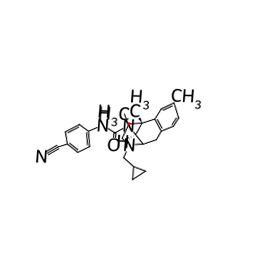 Cc1ccc2c(c1)[C@@]1(C)CCN(CC3CC3)C(C2)[C@H]1N(C)C(=O)Nc1ccc(C#N)cc1